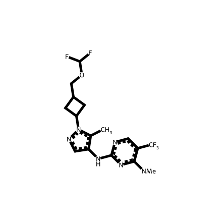 CNc1nc(Nc2cnn(C3CC(COC(F)F)C3)c2C)ncc1C(F)(F)F